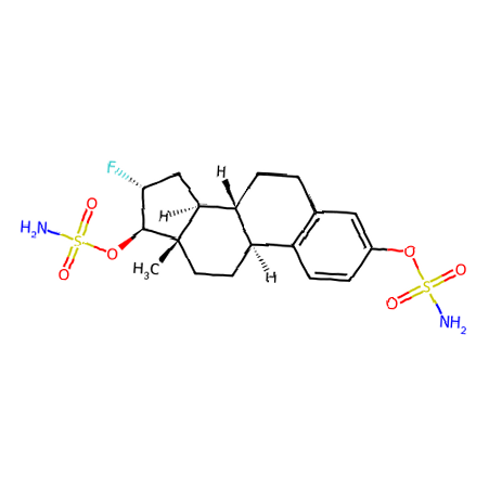 C[C@]12CC[C@@H]3c4ccc(OS(N)(=O)=O)cc4CC[C@H]3[C@@H]1C[C@@H](F)[C@@H]2OS(N)(=O)=O